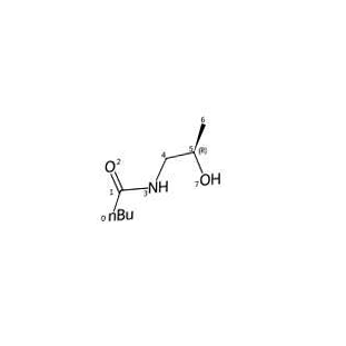 [CH2]CCCC(=O)NC[C@@H](C)O